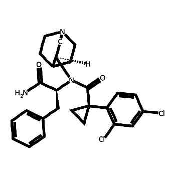 NC(=O)[C@H](Cc1ccccc1)N(C(=O)C1(c2ccc(Cl)cc2Cl)CC1)[C@@H]1CN2CCC1CC2